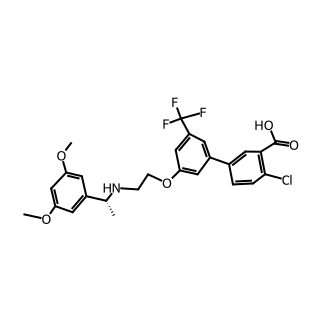 COc1cc(OC)cc([C@@H](C)NCCOc2cc(-c3ccc(Cl)c(C(=O)O)c3)cc(C(F)(F)F)c2)c1